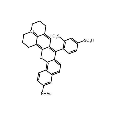 CC(=O)Nc1ccc2c3c(ccc2c1)C(c1ccc(S(=O)(=O)O)cc1S(=O)(=O)O)=c1cc2c4c(c1O3)CCC[N+]=4CCC2